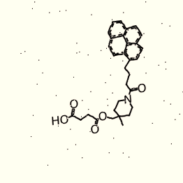 CC1(COC(=O)CCC(=O)O)CCN(C(=O)CCCc2ccc3ccc4cccc5ccc2c3c45)CC1